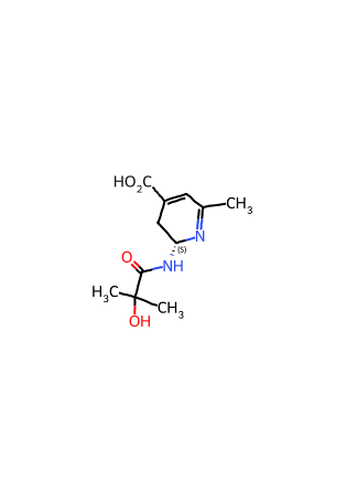 CC1=N[C@H](NC(=O)C(C)(C)O)CC(C(=O)O)=C1